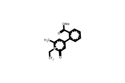 COC(=O)c1ccccc1-c1cc(C)n(CC(F)(F)F)c(=O)c1